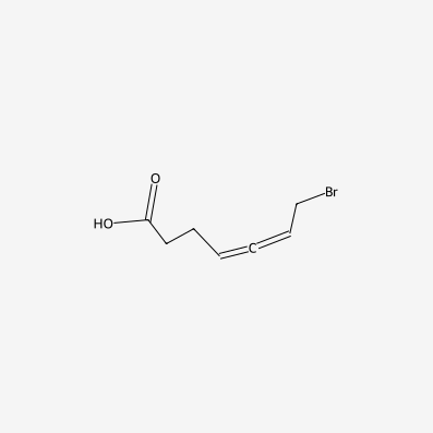 O=C(O)CCC=C=CCBr